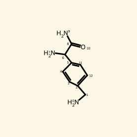 NCc1ccc(C(N)C(N)=O)cc1